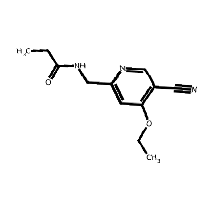 CCOc1cc(CNC(=O)CC)ncc1C#N